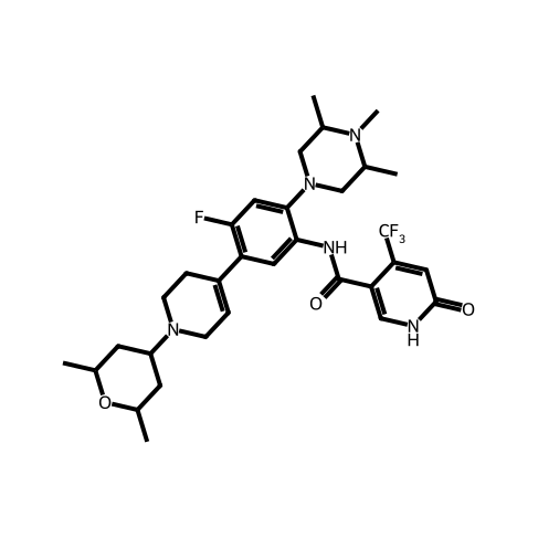 CC1CC(N2CC=C(c3cc(NC(=O)c4c[nH]c(=O)cc4C(F)(F)F)c(N4CC(C)N(C)C(C)C4)cc3F)CC2)CC(C)O1